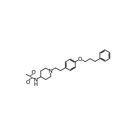 CS(=O)(=O)NC1CCN(CCc2ccc(OCCCc3ccccc3)cc2)CC1